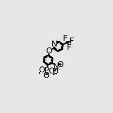 COP(=O)(OC)c1ccc(Oc2ccc(C(F)(F)F)cn2)cc1[N+](=O)[O-]